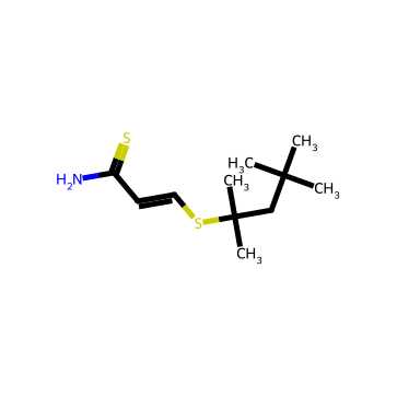 CC(C)(C)CC(C)(C)SC=CC(N)=S